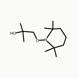 CC(C)(O)CON1C(C)(C)C[CH]CC1(C)C